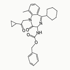 Cc1cccc2c1N(CC(=O)C1CC1)C(=O)C(NC(=O)OCc1ccccc1)N=C2C1CCCCC1